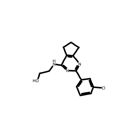 OCCNc1nc(-c2cccc(Cl)c2)nc2c1CCC2